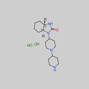 Cl.Cl.O=C1N[C@H]2CCCC[C@@H]2N1C1CCN(C2CCNCC2)CC1